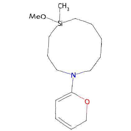 CO[Si]1(C)CCCCCN(C2=CC=CCO2)CCC1